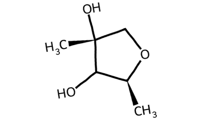 C[C@@H]1OC[C@@](C)(O)C1O